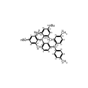 CCCCc1cc(C)c(N(c2cccc(N(c3ccc(C)cc3)c3ccc(C)cc3)c2)c2c(C)cc(CCCC)cc2C)c(C)c1